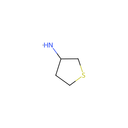 [NH]C1CCSC1